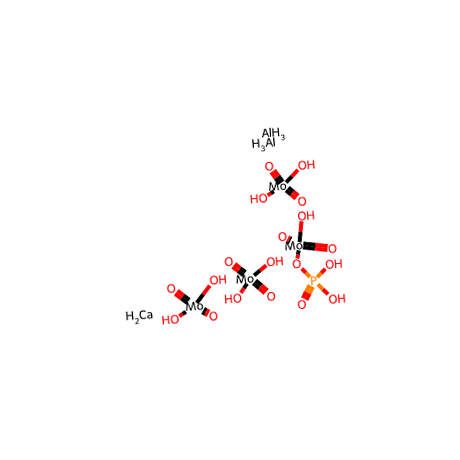 O=P(O)(O)[O][Mo](=[O])(=[O])[OH].[AlH3].[AlH3].[CaH2].[O]=[Mo](=[O])([OH])[OH].[O]=[Mo](=[O])([OH])[OH].[O]=[Mo](=[O])([OH])[OH]